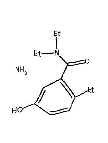 CCc1ccc(O)cc1C(=O)N(CC)CC.N